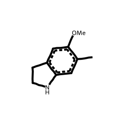 COc1cc2c(cc1C)NCC2